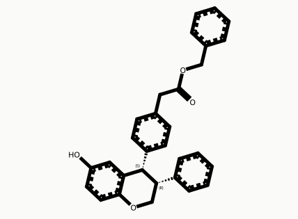 O=C(Cc1ccc([C@H]2c3cc(O)ccc3OC[C@H]2c2ccccc2)cc1)OCc1ccccc1